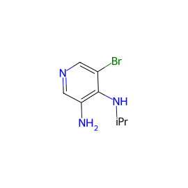 CC(C)Nc1c(N)cncc1Br